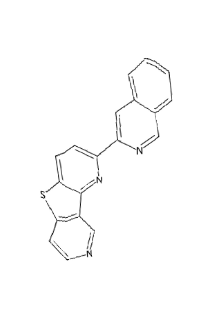 c1ccc2cc(-c3ccc4sc5ccncc5c4n3)ncc2c1